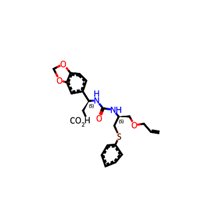 C=CCOC[C@@H](CSc1ccccc1)NC(=O)N[C@@H](CC(=O)O)c1ccc2c(c1)OCO2